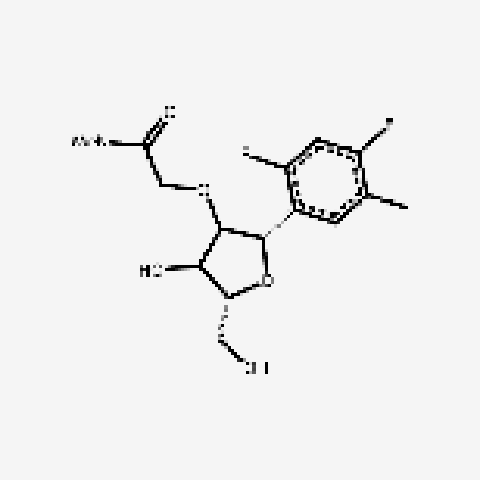 CNC(=O)COC1C(O)[C@@H](CO)O[C@H]1c1cc(C)c(F)cc1F